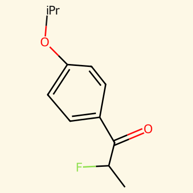 CC(C)Oc1ccc(C(=O)C(C)F)cc1